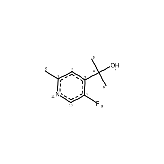 Cc1cc(C(C)(C)O)c(F)cn1